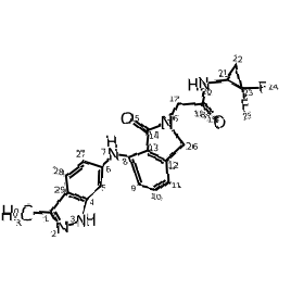 Cc1n[nH]c2cc(Nc3cccc4c3C(=O)N(CC(=O)NC3CC3(F)F)C4)ccc12